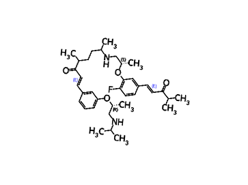 CC(C)NC[C@@H](C)Oc1cccc(/C=C/C(=O)C(C)CCC(C)NC[C@H](C)Oc2cc(/C=C/C(=O)C(C)C)ccc2F)c1